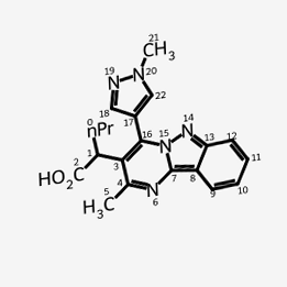 CCCC(C(=O)O)c1c(C)nc2c3ccccc3nn2c1-c1cnn(C)c1